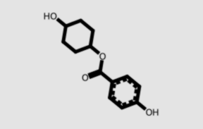 O=C(OC1CCC(O)CC1)c1ccc(O)cc1